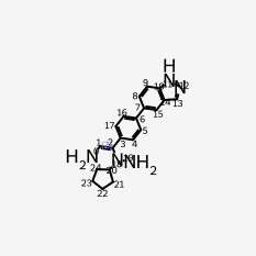 N/C=C(/c1ccc(-c2ccc3[nH]ncc3c2)cc1)N(N)C1CCCC1